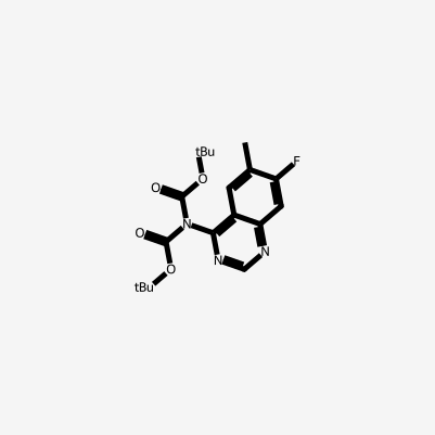 Cc1cc2c(N(C(=O)OC(C)(C)C)C(=O)OC(C)(C)C)ncnc2cc1F